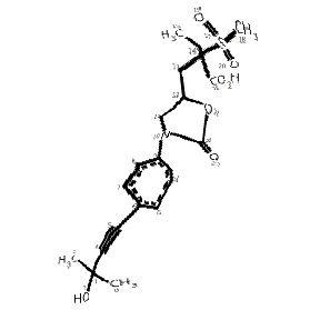 CC(C)(O)C#Cc1ccc(N2CC(CC(C)(C(=O)O)S(C)(=O)=O)OC2=O)cc1